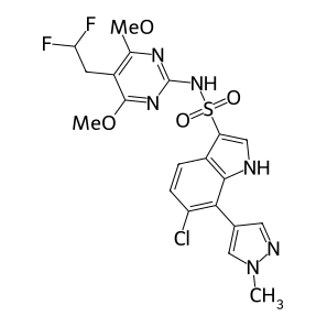 COc1nc(NS(=O)(=O)c2c[nH]c3c(-c4cnn(C)c4)c(Cl)ccc23)nc(OC)c1CC(F)F